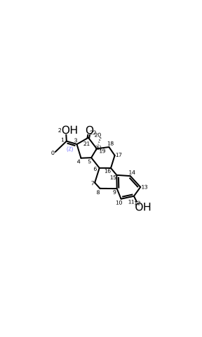 C/C(O)=C1\CC2C3CCc4cc(O)ccc4C3CC[C@]2(C)C1=O